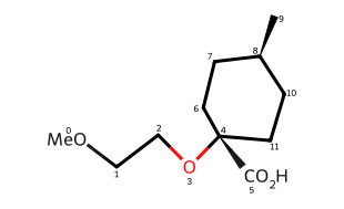 COCCO[C@]1(C(=O)O)CC[C@@H](C)CC1